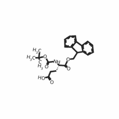 CC(C)(C)OC(=O)N[C@@H](CCC(=O)O)C(=O)OCC1c2ccccc2-c2ccccc21